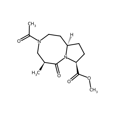 COC(=O)[C@@H]1CC[C@@H]2CCN(C(C)=O)C[C@H](C)C(=O)N21